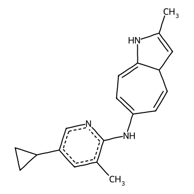 CC1=CC2C=CC(Nc3ncc(C4CC4)cc3C)=CC=C2N1